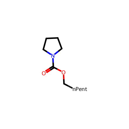 CCCCCCOC(=O)N1CCCC1